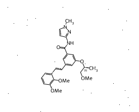 COC[C@H](C)Oc1cc(C=Cc2cccc(OC)c2OC)cc(C(=O)Nc2ccn(C)n2)c1